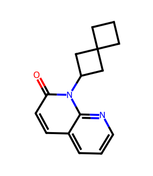 O=c1ccc2cccnc2n1C1CC2(CCC2)C1